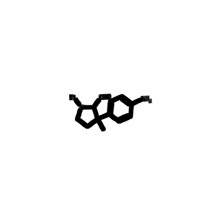 CCN1CCC(C)(c2ccc(N)cc2)C1C=O